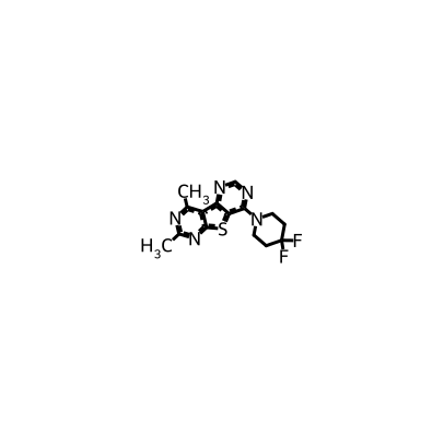 Cc1nc(C)c2c(n1)sc1c(N3CCC(F)(F)CC3)ncnc12